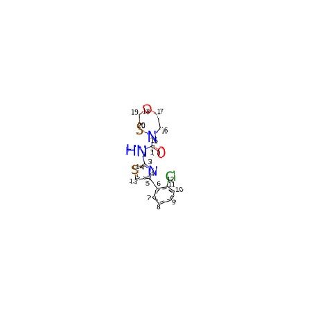 O=C(Nc1nc(-c2ccccc2Cl)cs1)N1CCOCS1